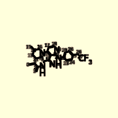 C=CC(=C)NCC(=N)c1c(N2CCCC(C)C2)ccnc1Nc1ccc(CC(F)(F)F)cc1